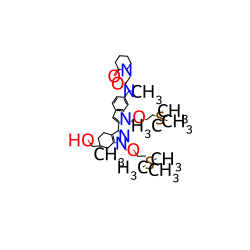 CN(C(=O)CN1CCCCC1=O)c1ccc2cc(-c3nn(COCCS(C)(C)C)c4c3CCC(C)(CO)C4)n(COCCS(C)(C)C)c2c1